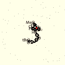 COc1ccc(C(N)=O)c(-c2c(Cl)c(F)cc3c2[C@H](C)[C@@](CNC2CCC(C(=O)N4CCC(CC5CCN(C(=O)OC(C)(C)C)CC5)CC4)CC2)(c2ccccc2)O3)c1F